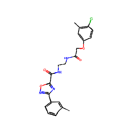 Cc1cccc(-c2noc(C(=O)NCCNC(=O)COc3ccc(Cl)c(C)c3)n2)c1